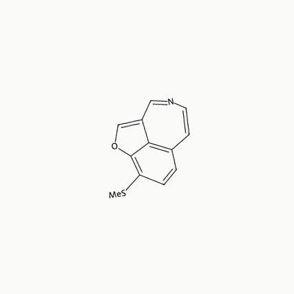 CSc1ccc2c3c(coc13)C=NC=C2